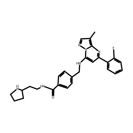 Cc1cnn2c(NCc3ccc(C(=O)NCCC4CCCN4)cc3)cc(-c3ccccc3F)nc12